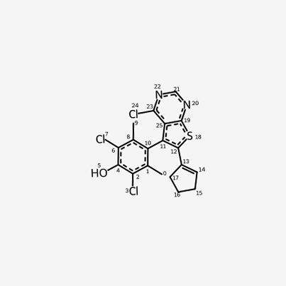 Cc1c(Cl)c(O)c(Cl)c(C)c1-c1c(C2=CCCC2)sc2ncnc(Cl)c12